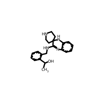 CC(O)c1ccccc1CNC1=Nc2ccccc2NC12CCNCC2